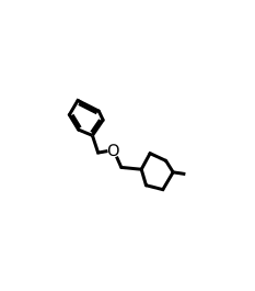 CC1CCC(COCc2ccccc2)CC1